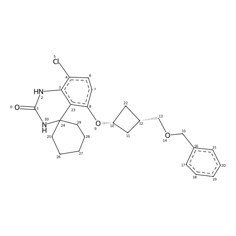 O=C1Nc2c(Cl)ccc(O[C@H]3C[C@@H](COCc4ccccc4)C3)c2C2(CCCCC2)N1